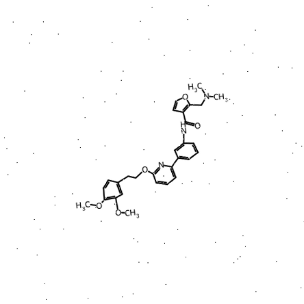 COc1ccc(CCOc2cccc(-c3cccc(NC(=O)c4ccoc4CN(C)C)c3)n2)cc1OC